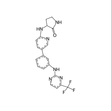 O=C1NCCC1Nc1ccc(-c2cccc(Nc3nccc(C(F)(F)F)n3)c2)cn1